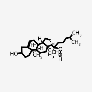 CC(C)CCC[C@@](C)(OO)[C@H]1CC[C@H]2[C@@H]3CC=C4CC(O)CC[C@]4(C)[C@H]3CC[C@@]21C